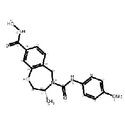 COc1ccc(NC(=O)N2Cc3ccc(C(=O)NO)cc3OC[C@H]2C)cc1